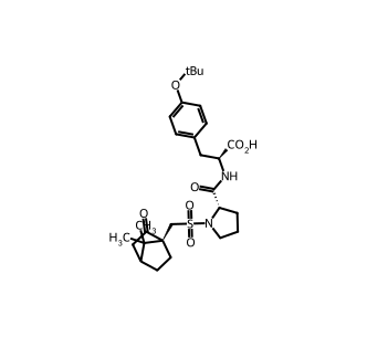 CC(C)(C)Oc1ccc(C[C@H](NC(=O)[C@@H]2CCCN2S(=O)(=O)C[C@]23CCC(CC2=O)C3(C)C)C(=O)O)cc1